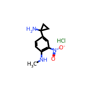 CNc1ccc(C2(N)CC2)cc1[N+](=O)[O-].Cl